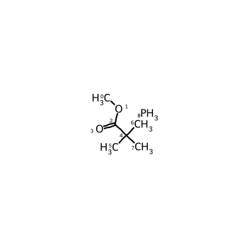 COC(=O)C(C)(C)C.P